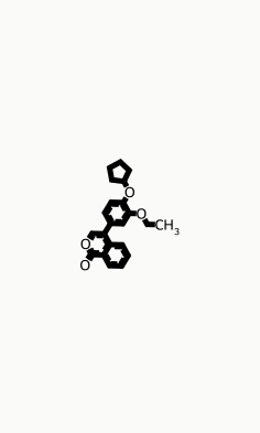 CCOc1cc(-c2coc(=O)c3ccccc23)ccc1OC1CCCC1